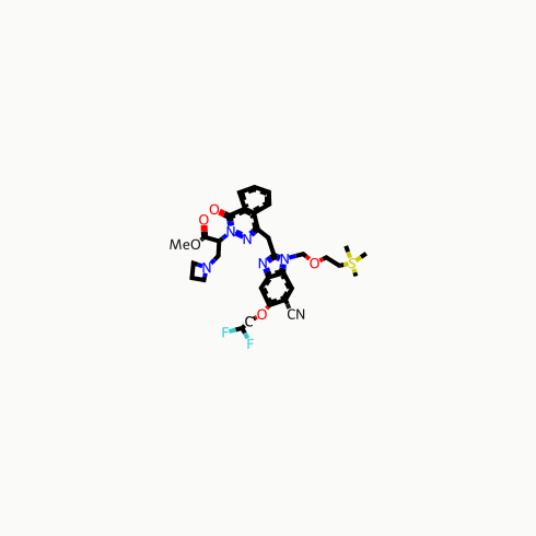 COC(=O)C(CN1CCC1)n1nc(Cc2nc3cc(OCC(F)F)c(C#N)cc3n2COCCS(C)(C)C)c2ccccc2c1=O